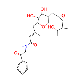 C/C(=C\C(=O)NCC(=O)c1ccccc1)CC1OCC(CC2OC2C(C)C(C)O)C(O)C1O